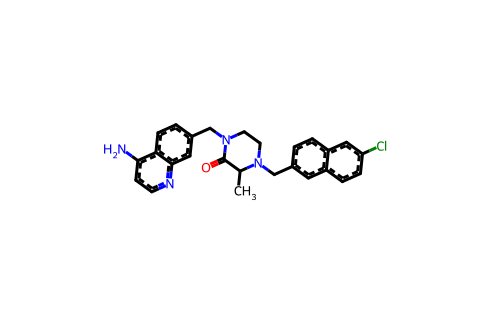 CC1C(=O)N(Cc2ccc3c(N)ccnc3c2)CCN1Cc1ccc2cc(Cl)ccc2c1